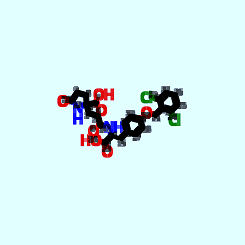 O=C(CCC1(C(=O)O)CCC(=O)N1)N[C@@H](Cc1ccc(OCc2c(Cl)cccc2Cl)cc1)C(=O)O